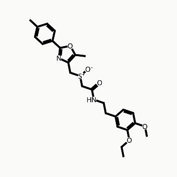 CCOc1cc(CCNC(=O)C[S+]([O-])Cc2nc(-c3ccc(C)cc3)oc2C)ccc1OC